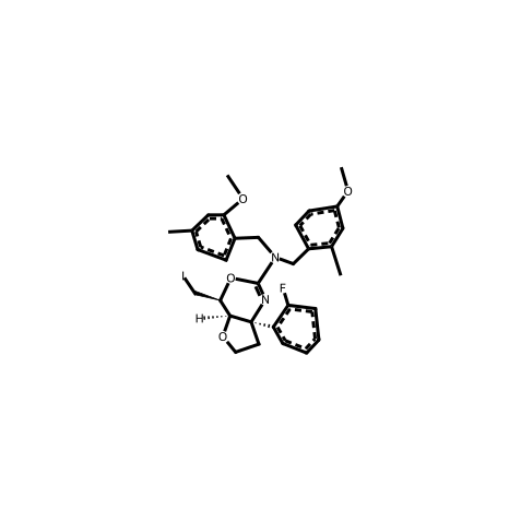 COc1ccc(CN(Cc2ccc(C)cc2OC)C2=N[C@@]3(c4ccccc4F)CCO[C@H]3[C@@H](CI)O2)c(C)c1